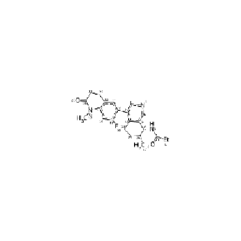 CCC(=O)N[C@H]1c2cncc(-c3cc4c(cc3F)N(C)C(=O)CC4)c2CCC1C